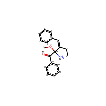 CCC(=Cc1ccccc1)C(N)(OC)C(=O)c1ccccc1